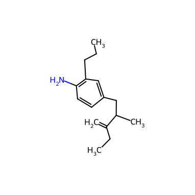 C=C(CC)C(C)Cc1ccc(N)c(CCC)c1